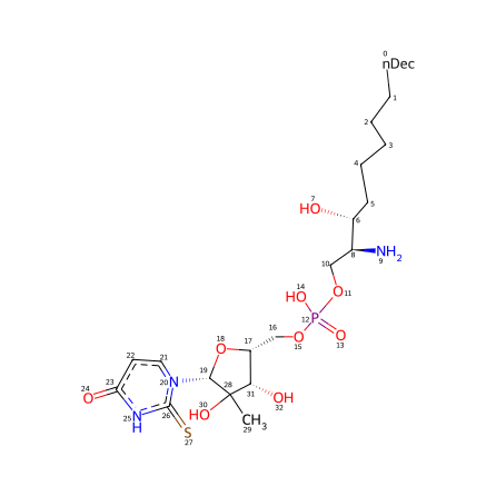 CCCCCCCCCCCCCCC[C@@H](O)[C@@H](N)COP(=O)(O)OC[C@H]1O[C@@H](n2ccc(=O)[nH]c2=S)C(C)(O)[C@H]1O